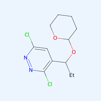 CCC(OC1CCCCO1)c1cc(Cl)nnc1Cl